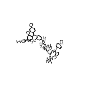 Cc1nnc2n1-c1sccc1C(c1ccc(Cl)cc1)=N[C@H]2CC(=O)NNC(=S)Nc1ccc(-c2c3ccc(=O)cc-3oc3cc(O)ccc23)c(C(=O)O)c1